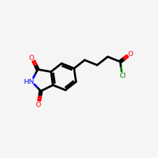 O=C(Cl)CCCc1ccc2c(c1)C(=O)NC2=O